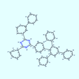 c1ccc(-c2cccc(-c3nc(-c4ccccc4)nc(-c4ccc(-c5c(-c6ccccc6)cc(-c6ccccc6)cc5-c5ccccc5)cc4)n3)c2)cc1